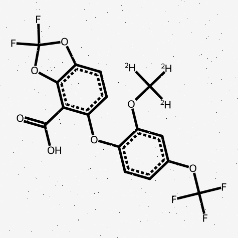 [2H]C([2H])([2H])Oc1cc(OC(F)(F)F)ccc1Oc1ccc2c(c1C(=O)O)OC(F)(F)O2